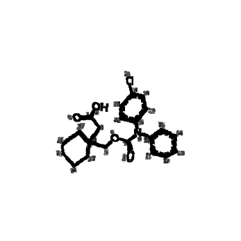 O=C(O)CC1(COC(=O)N(c2ccccc2)c2ccc(Cl)cc2)CCCCC1